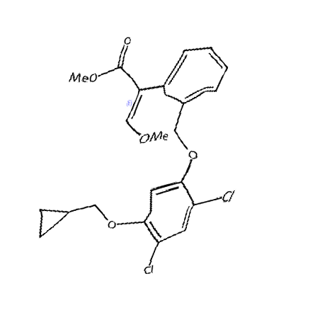 CO/C=C(/C(=O)OC)c1ccccc1COc1cc(OCC2CC2)c(Cl)cc1Cl